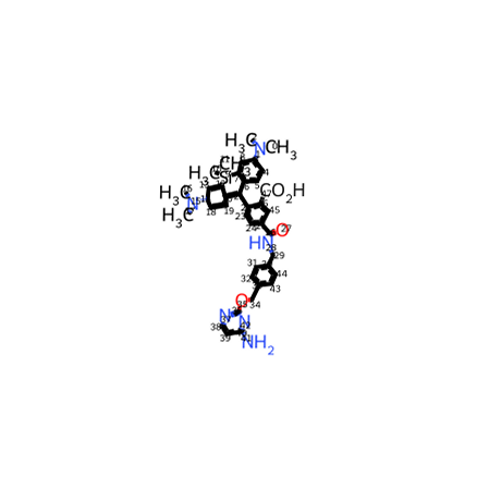 CN(C)c1ccc2c(c1)[Si](C)(C)C1=CC(=[N+](C)C)C=CC1=C2c1ccc(C(=O)NCc2ccc(COc3nccc(N)n3)cc2)cc1C(=O)O